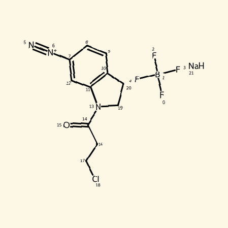 F[B-](F)(F)F.N#[N+]c1ccc2c(c1)N(C(=O)CCCl)CC2.[NaH]